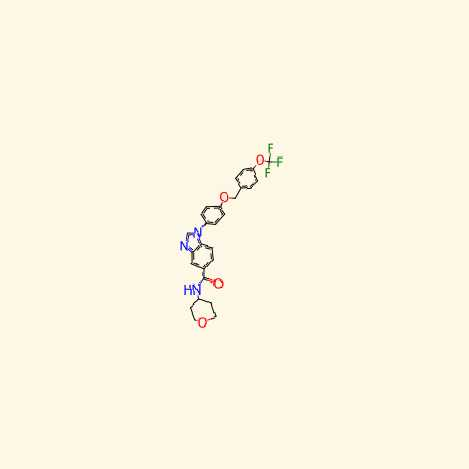 O=C(NC1CCOCC1)c1ccc2c(c1)ncn2-c1ccc(OCc2ccc(OC(F)(F)F)cc2)cc1